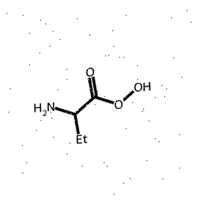 CCC(N)C(=O)OO